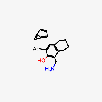 CC(=O)c1cc2c(c(CN)c1O)CCCC2.c1cc2cc-2c1